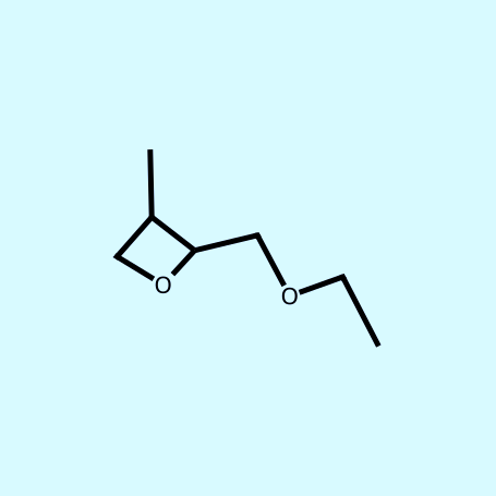 CCOCC1OCC1C